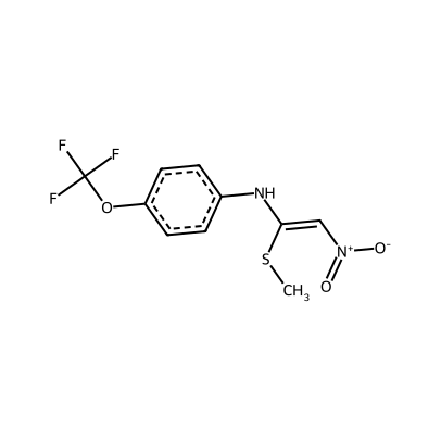 CSC(=C[N+](=O)[O-])Nc1ccc(OC(F)(F)F)cc1